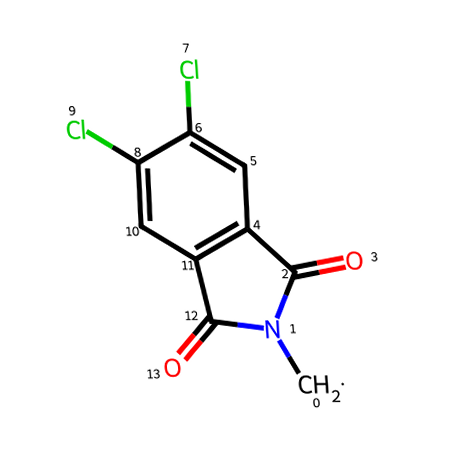 [CH2]N1C(=O)c2cc(Cl)c(Cl)cc2C1=O